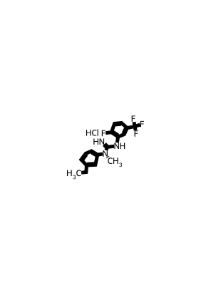 CCc1cccc(N(C)C(=N)Nc2cc(C(F)(F)F)ccc2F)c1.Cl